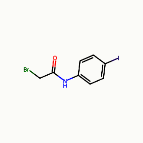 O=C(CBr)Nc1ccc(I)cc1